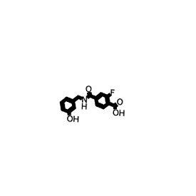 O=C(NCc1cccc(O)c1)c1ccc(C(=O)O)c(F)c1